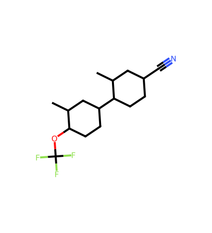 CC1CC(C2CCC(C#N)CC2C)CCC1OC(F)(F)F